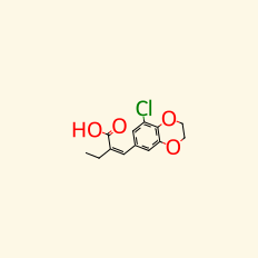 CCC(=Cc1cc(Cl)c2c(c1)OCCO2)C(=O)O